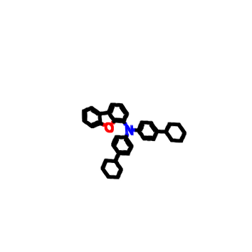 c1ccc2c(c1)oc1c(N(c3ccc(C4CCCCC4)cc3)c3ccc(C4CCCCC4)cc3)cccc12